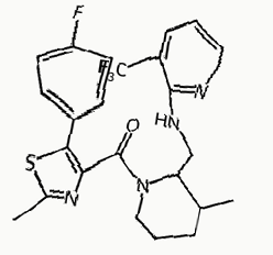 Cc1nc(C(=O)N2CCCC(C)C2CNc2ncccc2C(F)(F)F)c(-c2ccc(F)cc2)s1